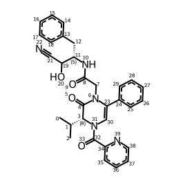 CC(C)[C@@H]1C(=O)N(CC(=O)N[C@@H](Cc2ccccc2)C(O)C#N)C(c2ccccc2)=CN1C(=O)c1ccccn1